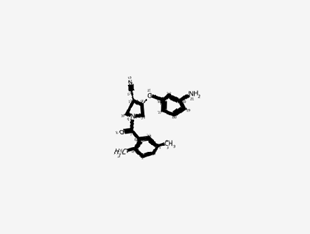 Cc1ccc(C)c(C(=O)N2C[C@@H](C#N)[C@H](Oc3cccc(N)c3)C2)c1